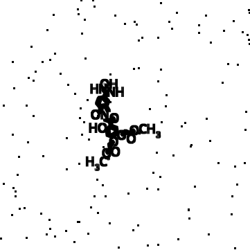 CCOC(=O)COc1cc(O)c(C(=O)CN2Cc3cc(C(=N)NO)ccc3C2=O)cc1OCC(=O)OCC